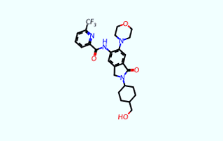 O=C(Nc1cc2c(cc1N1CCOCC1)C(=O)N(C1CCC(CO)CC1)C2)c1cccc(C(F)(F)F)n1